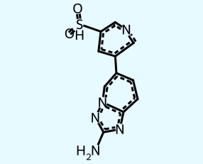 Nc1nc2ccc(-c3cncc([SH](=O)=O)c3)cn2n1